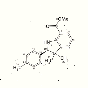 COC(=O)c1cccc2c1N[C@H](c1ccc(C)cn1)C2(C)C